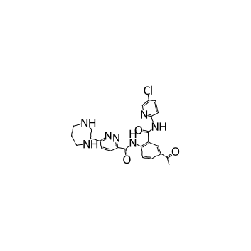 CC(=O)c1ccc(NC(=O)c2ccc(C3CNCCCN3)nn2)c(C(=O)Nc2ccc(Cl)cn2)c1